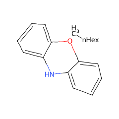 CCCCCCC.c1ccc2c(c1)Nc1ccccc1O2